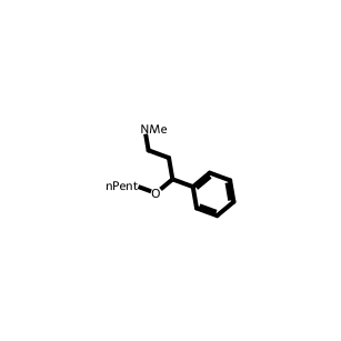 CCCCCOC(CCNC)c1ccccc1